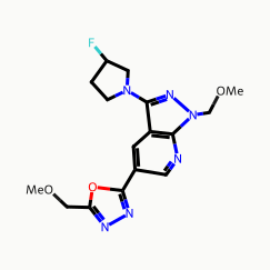 COCc1nnc(-c2cnc3c(c2)c(N2CCC(F)C2)nn3COC)o1